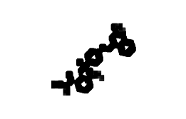 Cc1cc(COc2ccc(S(=O)(=O)C[C@H]3[C@@H](C(=O)NO)CCCN3C)cc2)c2ccccc2n1